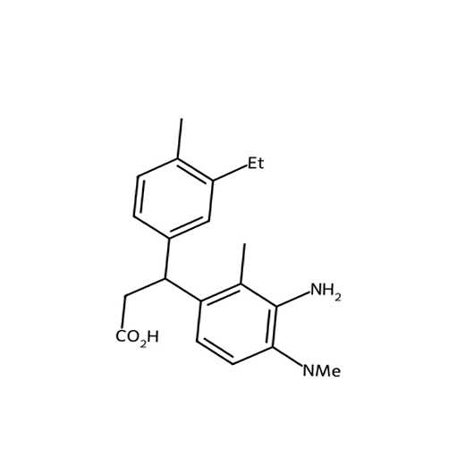 CCc1cc(C(CC(=O)O)c2ccc(NC)c(N)c2C)ccc1C